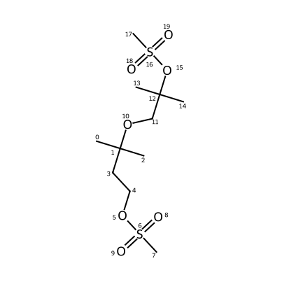 CC(C)(CCOS(C)(=O)=O)OCC(C)(C)OS(C)(=O)=O